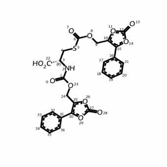 O=C(N[C@@H](CSC(=O)OCc1oc(=O)oc1-c1ccccc1)C(=O)O)OCc1oc(=O)oc1-c1ccccc1